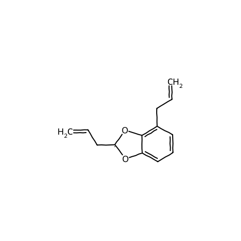 C=CC[C]1Oc2cccc(CC=C)c2O1